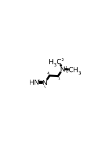 CN(C)CCN=N